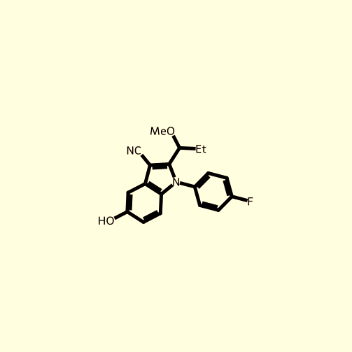 CCC(OC)c1c(C#N)c2cc(O)ccc2n1-c1ccc(F)cc1